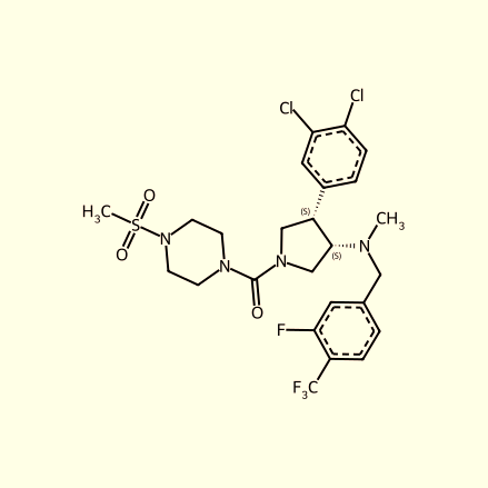 CN(Cc1ccc(C(F)(F)F)c(F)c1)[C@@H]1CN(C(=O)N2CCN(S(C)(=O)=O)CC2)C[C@@H]1c1ccc(Cl)c(Cl)c1